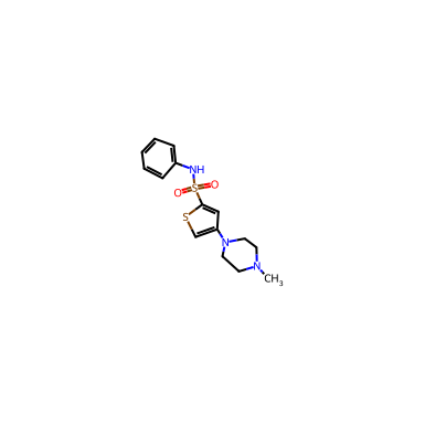 CN1CCN(c2csc(S(=O)(=O)Nc3ccccc3)c2)CC1